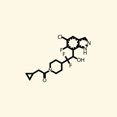 O=C(CC1CC1)N1CCC(C(F)(F)C(O)c2c(F)c(Cl)cc3cn[nH]c23)CC1